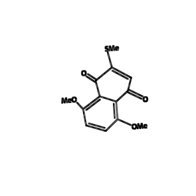 COc1ccc(OC)c2c1C(=O)C=C(SC)C2=O